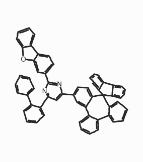 c1ccc(-c2ccccc2-c2cc(-c3ccc4c(c3)-c3ccccc3-c3ccccc3C43c4ccccc4-c4ccccc43)nc(-c3ccc4c(c3)oc3ccccc34)n2)cc1